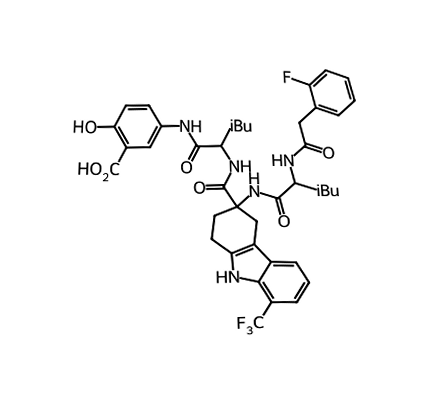 CCC(C)C(NC(=O)Cc1ccccc1F)C(=O)NC1(C(=O)NC(C(=O)Nc2ccc(O)c(C(=O)O)c2)C(C)CC)CCc2[nH]c3c(C(F)(F)F)cccc3c2C1